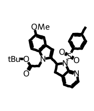 COc1ccc2c(c1)cc(C1Cc3cccnc3N1S(=O)(=O)c1ccc(C)cc1)n2CC(=O)OC(C)(C)C